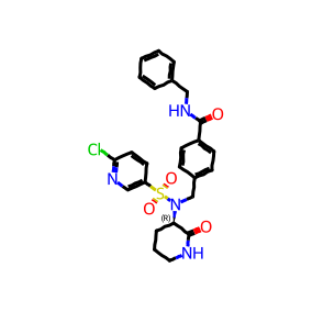 O=C(NCc1ccccc1)c1ccc(CN([C@@H]2CCCNC2=O)S(=O)(=O)c2ccc(Cl)nc2)cc1